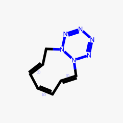 C1=C\C=C\N2N=NN=NN2C/C=C/1